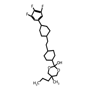 CCCC1(C)COC(O)(C2CCC(CCC3CCC(c4cc(F)c(F)c(F)c4)CC3)CC2)OC1